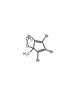 COC1(C)C(Br)=C(Br)C(Br)=C1Br